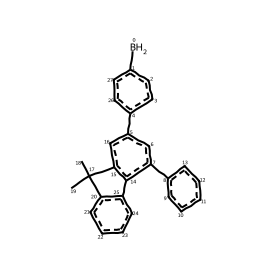 Bc1ccc(-c2cc(-c3ccccc3)c3c(c2)C(C)(C)c2ccccc2-3)cc1